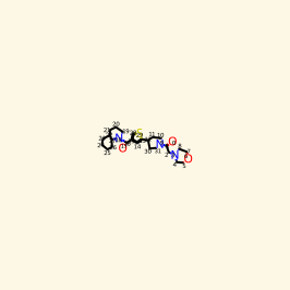 O=C(CN1CCOCC1)N1CCC(c2cc(C(=O)N3CCCC4CCCCC43)cs2)CC1